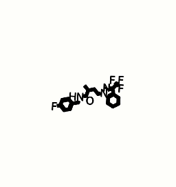 CC(CCn1nc(C(F)(F)F)c2c1CCCC2)C(=O)NCc1ccc(F)cc1